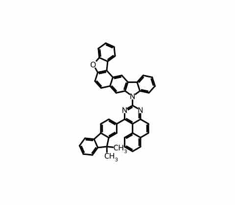 CC1(C)c2ccccc2-c2ccc(-c3nc(-n4c5ccccc5c5cc6c(ccc7oc8ccccc8c76)cc54)nc4ccc5ccccc5c34)cc21